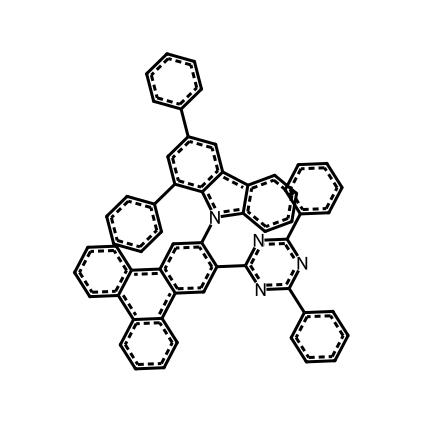 c1ccc(-c2cc(-c3ccccc3)c3c(c2)c2ccccc2n3-c2cc3c4ccccc4c4ccccc4c3cc2-c2nc(-c3ccccc3)nc(-c3ccccc3)n2)cc1